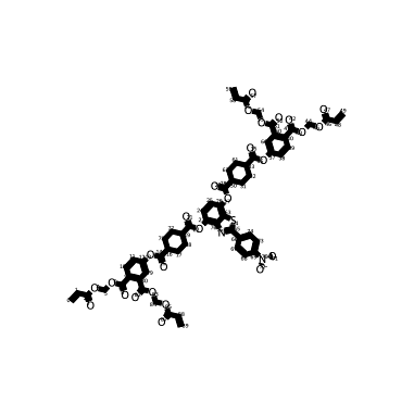 C=CC(=O)OCOC(=O)c1ccc(OC(=O)C2CCC(C(=O)Oc3ccc(OC(=O)C4CCC(C(=O)Oc5ccc(C(=O)OCOC(=O)C=C)c(C(=O)OCOC(=O)C=C)c5)CC4)c4sc(-c5ccc([N+](=O)[O-])cc5)nc34)CC2)cc1C(=O)OCOC(=O)C=C